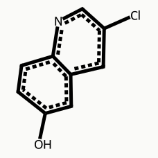 Oc1ccc2ncc(Cl)cc2c1